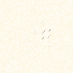 B.CC(C)(C)SCCOB(O)O.O=C1C=C(N2CC2)C(=O)C(N2CC2)=C1N1CC1